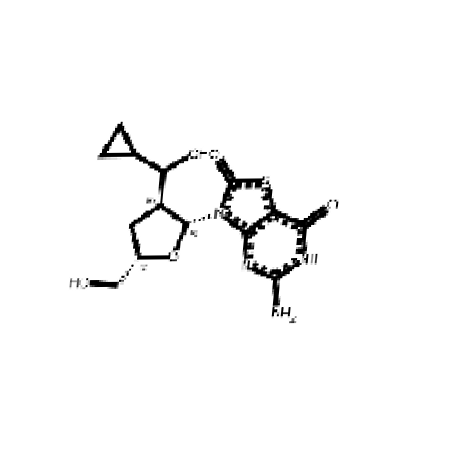 Nc1nc2c(sc(=O)n2[C@@H]2O[C@H](CO)C[C@H]2C(O)C2CC2)c(=O)[nH]1